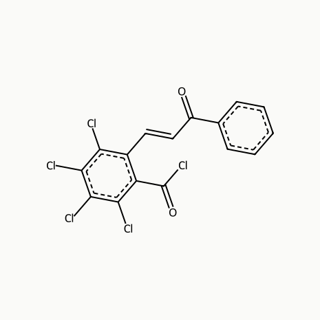 O=C(C=Cc1c(Cl)c(Cl)c(Cl)c(Cl)c1C(=O)Cl)c1ccccc1